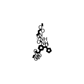 CCOC(=O)Cc1csc(NC(=O)Nc2ccc(CC(=O)N(CC)S(C)(=O)=O)cc2C(=O)C2CCCC2)n1